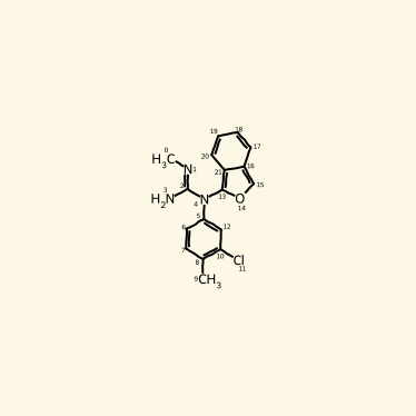 CN=C(N)N(c1ccc(C)c(Cl)c1)c1occ2ccccc12